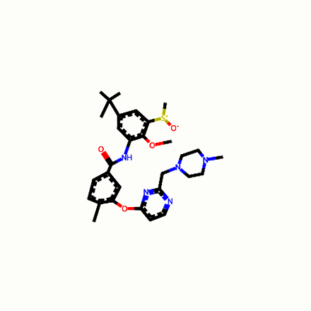 COc1c(NC(=O)c2ccc(C)c(Oc3ccnc(CN4CCN(C)CC4)n3)c2)cc(C(C)(C)C)cc1[S+](C)[O-]